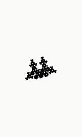 CC(C)c1cc(C(C)C)c(-c2ccc(N(c3ccc(-c4c(C(C)C)cc(C(C)C)cc4C(C)C)cc3)c3ccc4c(c3)N(c3ccccc3)c3cccc5c3B4c3ccc(N(c4ccc(-c6c(C(C)C)cc(C(C)C)cc6C(C)C)cc4)c4ccc(-c6c(C(C)C)cc(C(C)C)cc6C(C)C)cc4)cc3N5c3ccccc3)cc2)c(C(C)C)c1